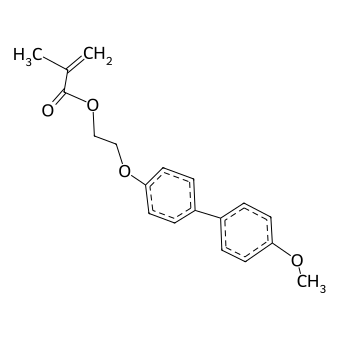 C=C(C)C(=O)OCCOc1ccc(-c2ccc(OC)cc2)cc1